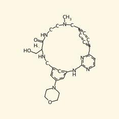 CN1CCNC(=O)[C@H](CO)NCc2cc(cc(N3CCOCC3)c2)Nc2nccc(n2)-c2ccc(cc2)C1